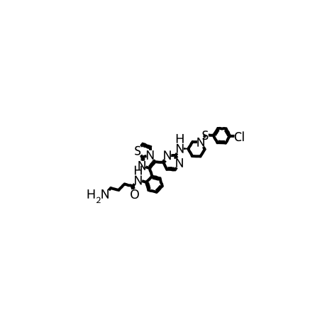 NCCCC(=O)Nc1ccccc1-c1nc2sccn2c1-c1ccnc(N[C@@H]2CCCN(Sc3ccc(Cl)cc3)C2)n1